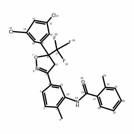 Cc1ccc(C2=NOC(c3cc(Cl)cc(Cl)c3)(C(F)(F)F)C2)cc1NC(=O)c1ccccc1C